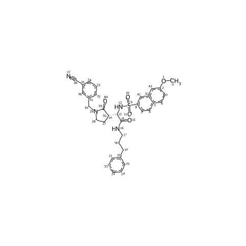 COc1ccc2ccc(S(=O)(=O)NC(C(=O)NCCCc3ccccc3)[C@@H]3CCN(Cc4cccc(C#N)c4)C3=O)cc2c1